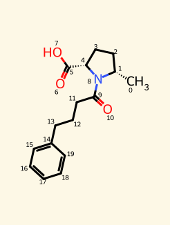 C[C@H]1CC[C@@H](C(=O)O)N1C(=O)CCCc1ccccc1